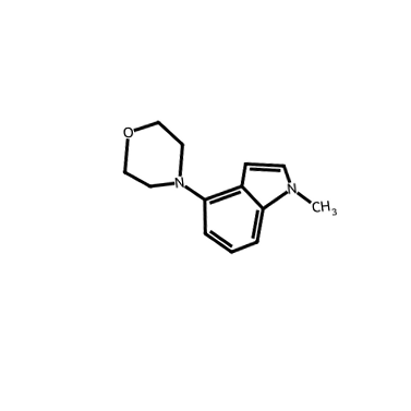 Cn1ccc2c(N3CCOCC3)cccc21